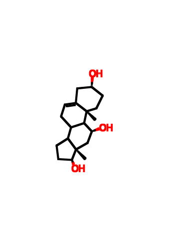 C[C@]12CC[C@H](O)CC1=CCC1C2[C@@H](O)C[C@@]2(C)C1CC[C@@H]2O